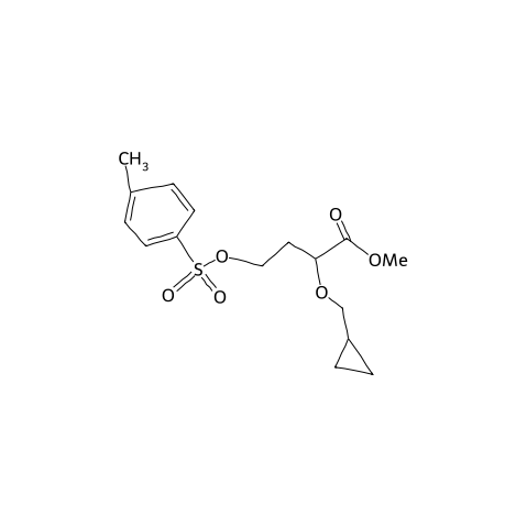 COC(=O)C(CCOS(=O)(=O)c1ccc(C)cc1)OCC1CC1